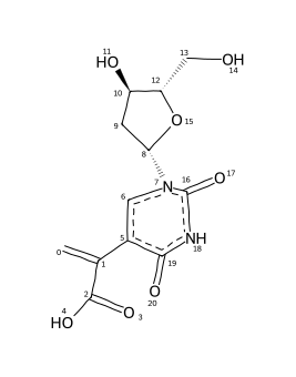 C=C(C(=O)O)c1cn([C@@H]2C[C@@H](O)[C@H](CO)O2)c(=O)[nH]c1=O